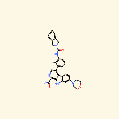 Cc1c(NC(=O)N2Cc3ccccc3C2)cccc1-c1cnc(C(N)=O)c2[nH]c3cc(N4CCOCC4)ccc3c12